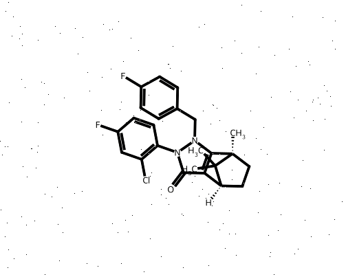 CC1(C)[C@H]2CC[C@]1(C)c1c2c(=O)n(-c2ccc(F)cc2Cl)n1Cc1ccc(F)cc1